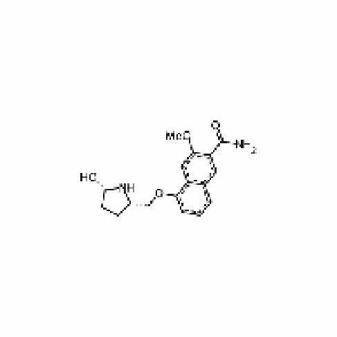 COc1cc2c(OC[C@@H]3CC[C@H](O)N3)cccc2cc1C(N)=O